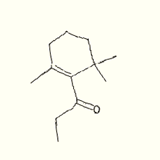 CCC(=O)C1=C(C)CCCC1(C)C